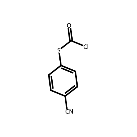 N#Cc1ccc(SC(=O)Cl)cc1